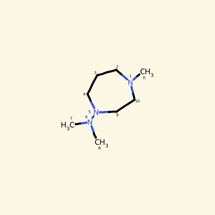 CN1CCCN(N(C)C)CC1